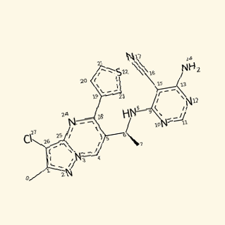 Cc1nn2cc([C@H](C)Nc3ncnc(N)c3C#N)c(-c3ccsc3)nc2c1Cl